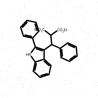 CCOC(=O)C(C(=O)OCC)C(c1ccccc1)c1c(-c2ccccc2)[nH]c2ccccc12